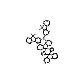 CC1(C)c2ccccc2-c2ccc(N(c3ccc4c(c3)C(C)(C)c3ccccc3-4)c3cccc4c3-c3ccccc3C43c4ccccc4C4(c5ccccc5-c5ccccc54)c4ccccc43)cc21